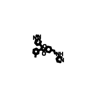 Cc1cccc(C2=C(c3ccc4ncnn4c3)OC3(CCC(CCNc4cccnc4)CC3)C2=O)c1